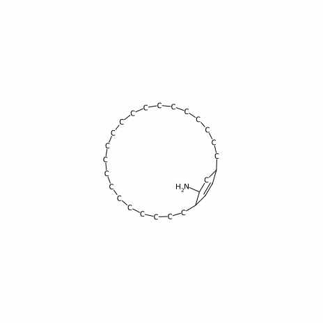 NC1CC2C=CC1CCCCCCCCCCCCCCCCCCCCC2